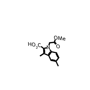 COC(=O)Cn1c(C(=O)O)c(C)c2cc(C)ccc21